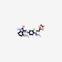 Cc1cccc2c1/C(=C\Nc1ccc(N(C)CCC3OCCO3)c(F)c1)C(=O)N2